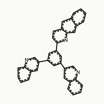 c1ccc2cc3nc(-c4cc(-c5cnc6ccccc6c5)cc(-c5cnc6ccccc6c5)c4)ccc3cc2c1